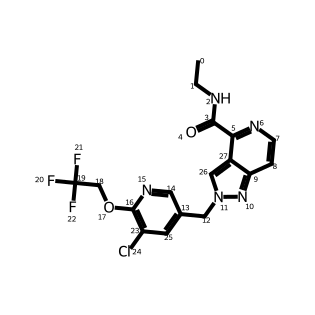 CCNC(=O)c1nccc2nn(Cc3cnc(OCC(F)(F)F)c(Cl)c3)cc12